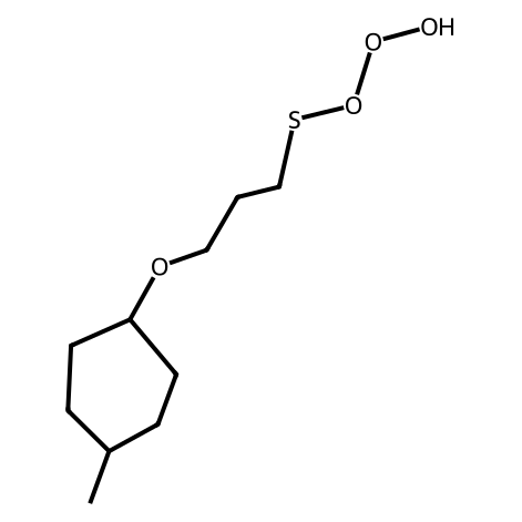 CC1CCC(OCCCSOOO)CC1